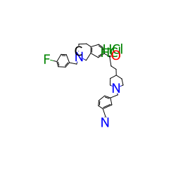 Cl.Cl.N#Cc1cccc(CN2CCC(CCC(=O)c3ccc4c(c3)CN(Cc3ccc(F)cc3)CCC4)CC2)c1